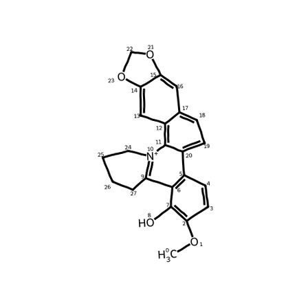 COc1ccc2c(c1O)c1[n+](c3c4cc5c(cc4ccc23)OCO5)CCCC1